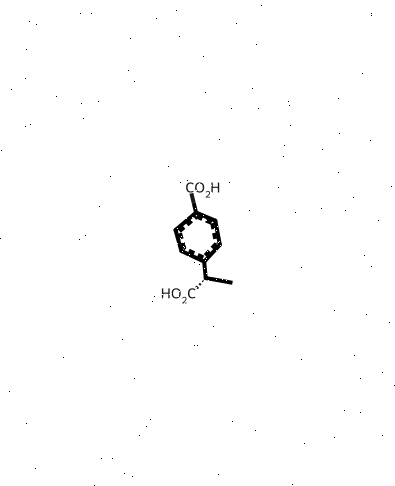 C[C@H](C(=O)O)c1ccc(C(=O)O)cc1